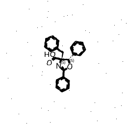 O=C(O)[C@@]1(Cc2ccccc2)N=C(c2ccccc2)O[C@H]1c1ccccc1